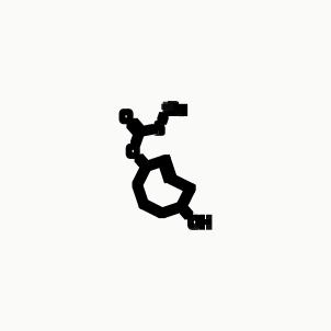 CC(C)(C)SC(=O)OC1/C=C/CC(O)CCC1